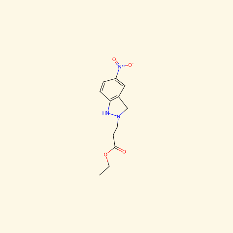 CCOC(=O)CCN1Cc2cc([N+](=O)[O-])ccc2N1